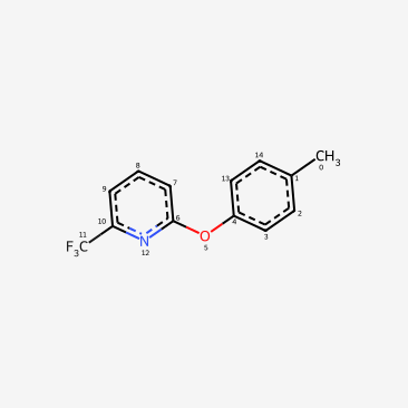 Cc1ccc(Oc2cccc(C(F)(F)F)n2)cc1